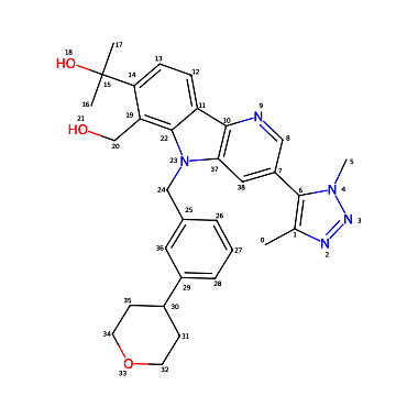 Cc1nnn(C)c1-c1cnc2c3ccc(C(C)(C)O)c(CO)c3n(Cc3cccc(C4CCOCC4)c3)c2c1